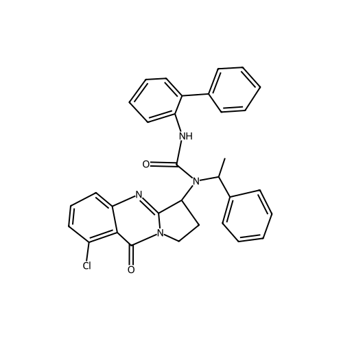 CC(c1ccccc1)N(C(=O)Nc1ccccc1-c1ccccc1)C1CCn2c1nc1cccc(Cl)c1c2=O